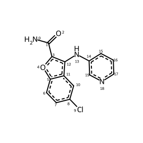 NC(=O)c1oc2ccc(Cl)cc2c1Nc1cccnc1